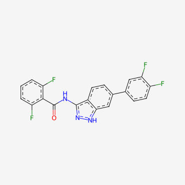 O=C(Nc1n[nH]c2cc(-c3ccc(F)c(F)c3)ccc12)c1c(F)cccc1F